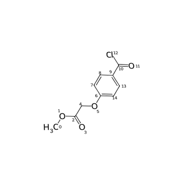 COC(=O)COc1ccc(C(=O)Cl)cc1